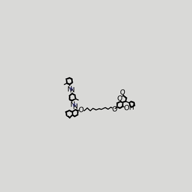 Cc1ccccc1/N=N/c1ccc(/N=N/c2c(OCCCCCCCCCCOc3cc(O)c4c(-c5ccccc5)cc(=O)oc4c3)ccc3ccccc23)c(C)c1